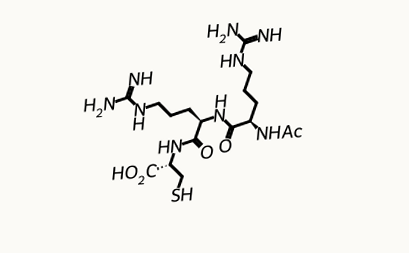 CC(=O)N[C@H](CCCNC(=N)N)C(=O)N[C@H](CCCNC(=N)N)C(=O)N[C@H](CS)C(=O)O